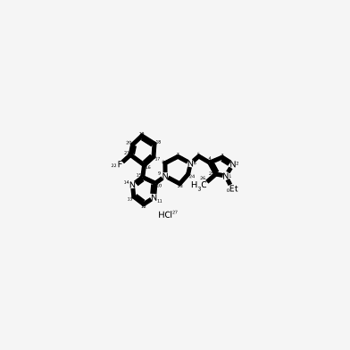 CCn1ncc(CN2CCN(c3nccnc3-c3ccccc3F)CC2)c1C.Cl